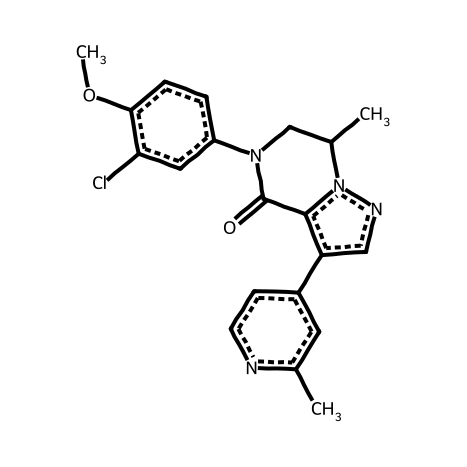 COc1ccc(N2CC(C)n3ncc(-c4ccnc(C)c4)c3C2=O)cc1Cl